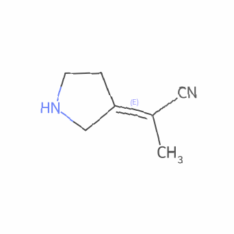 C/C(C#N)=C1/CCNC1